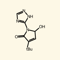 CC(C)(C)C1=CC(O)N(c2ncn[nH]2)C1=O